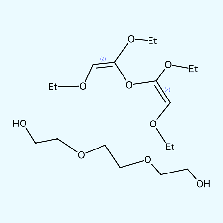 CCO/C=C(/OCC)O/C(=C\OCC)OCC.OCCOCCOCCO